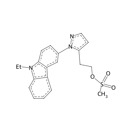 CCn1c2ccccc2c2cc(-n3nccc3CCOS(C)(=O)=O)ccc21